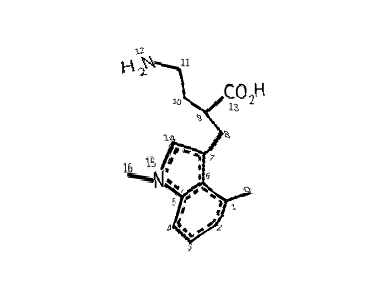 Cc1cccc2c1c(CC(CCN)C(=O)O)cn2C